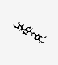 COc1ccc(CNc2ncnc3c2ncn3C2OC(CO)C(O)C2O)cc1OC